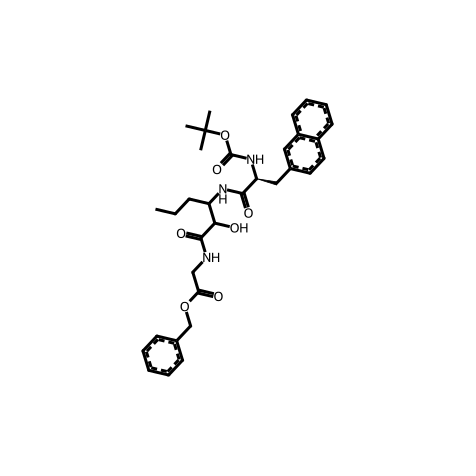 CCCC(NC(=O)[C@H](Cc1ccc2ccccc2c1)NC(=O)OC(C)(C)C)C(O)C(=O)NCC(=O)OCc1ccccc1